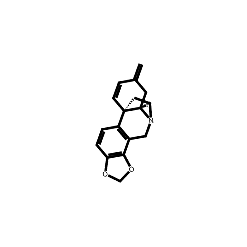 C=C1C=C[C@]23CCN(Cc4c2ccc2c4OCO2)[C@H]3C1